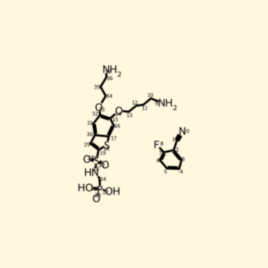 N#Cc1ccccc1F.NCCCCOc1cc2sc(S(=O)(=O)NCP(=O)(O)O)cc2cc1OCCCN